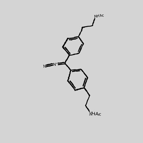 CC(=O)NCCc1ccc(C(=[N+]=[N-])c2ccc(CCNC(C)=O)cc2)cc1